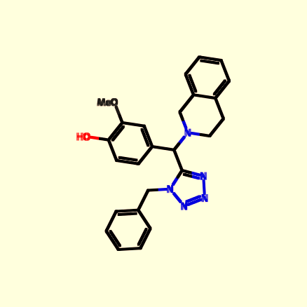 COc1cc(C(c2nnnn2Cc2ccccc2)N2CCc3ccccc3C2)ccc1O